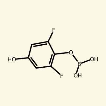 OB(O)Oc1c(F)cc(O)cc1F